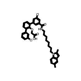 Cc1ccc2c(c1)cc(C)n2CCCCCCCCNC(=O)c1cc(Cl)cc(-c2cccc(-c3cccc(Cl)c3)c2OCC(=O)O)c1